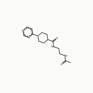 CC(=O)NCCNC(=O)C1CCN(c2ccncn2)CC1